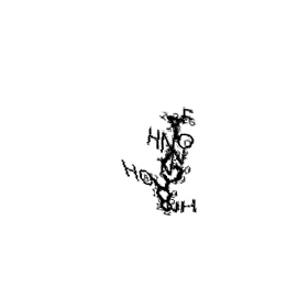 O=C(Nc1cn2cc(-c3cc4[nH]ccc4cc3CO)ccc2n1)C1CC1F